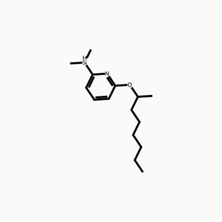 CCCCCCC(C)Oc1cccc([SiH](C)C)n1